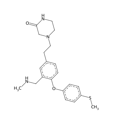 CNCc1cc(CCN2CCNC(=O)C2)ccc1Oc1ccc(SC)cc1